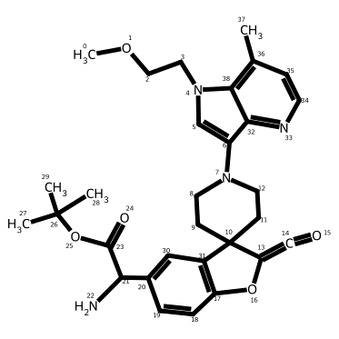 COCCn1cc(N2CCC3(CC2)C(=C=O)Oc2ccc(C(N)C(=O)OC(C)(C)C)cc23)c2nccc(C)c21